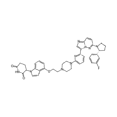 O=C1CCC(n2ccc3c(OCCN4CCN(c5cccc(-c6cnc7ccc(N8CCC[C@@H]8c8cccc(F)c8)nn67)n5)CC4)cccc32)C(=O)N1